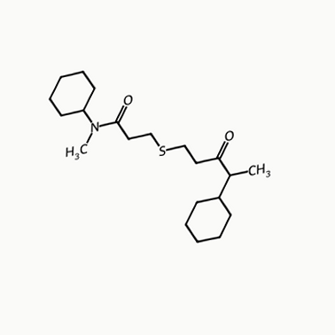 CC(C(=O)CCSCCC(=O)N(C)C1CCCCC1)C1CCCCC1